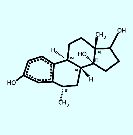 C[C@H]1C[C@@H]2[C@H](CC[C@]3(C)C(O)CC[C@@]23O)c2ccc(O)cc21